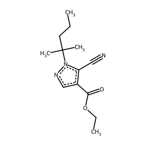 CCCC(C)(C)n1ncc(C(=O)OCC)c1C#N